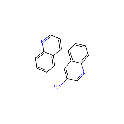 Nc1cnc2ccccc2c1.c1ccc2ncccc2c1